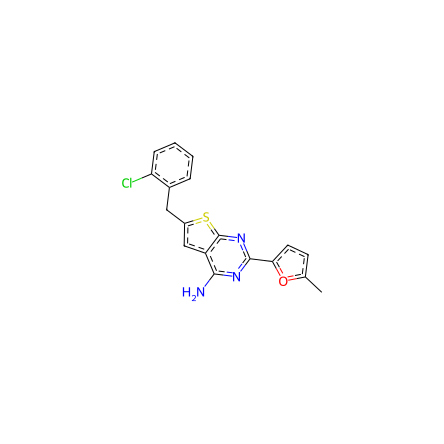 Cc1ccc(-c2nc(N)c3cc(Cc4ccccc4Cl)sc3n2)o1